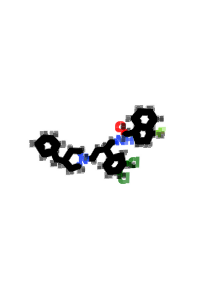 O=C(NCC(CCN1CCC(Cc2ccccc2)CC1)c1ccc(Cl)c(Cl)c1)c1ccc(F)c2ccccc12